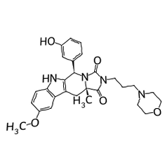 COc1ccc2[nH]c3c(c2c1)C[C@@]1(C)C(=O)N(CCCN2CCOCC2)C(=O)N1[C@@H]3c1cccc(O)c1